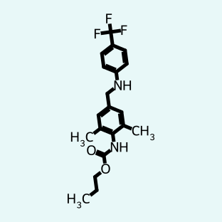 CCCOC(=O)Nc1c(C)cc(CNc2ccc(C(F)(F)F)cc2)cc1C